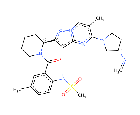 C=N[C@H]1CCN(c2nc3cc([C@@H]4CCCCN4C(=O)c4cc(C)ccc4NS(C)(=O)=O)nn3cc2C)C1